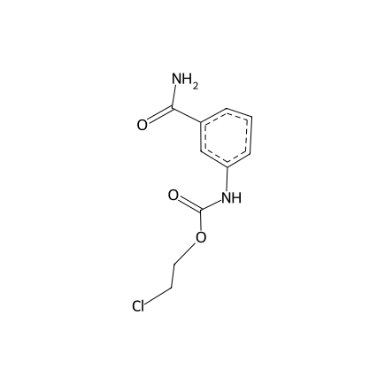 NC(=O)c1cccc(NC(=O)OCCCl)c1